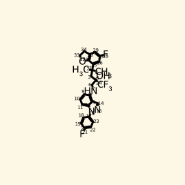 CC(C)(CC(O)(CNc1cccc2c1cnn2-c1ccc(F)cc1)C(F)(F)F)c1cc(F)cc2c1OCC2